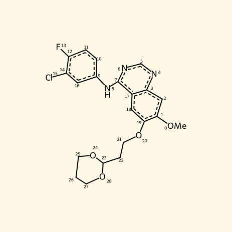 COc1cc2ncnc(Nc3ccc(F)c(Cl)c3)c2cc1OCCC1OCCCO1